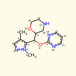 Cc1[c]nn(C)c1C(Oc1ncccn1)C1CNCCO1